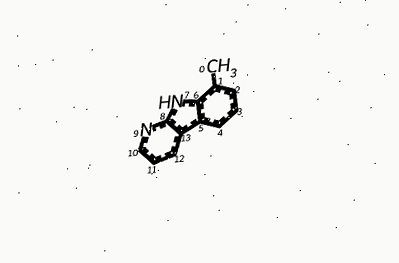 Cc1cccc2c1[nH]c1ncccc12